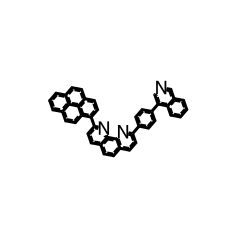 c1ccc2c(-c3ccc(-c4ccc5ccc6ccc(-c7ccc8ccc9cccc%10ccc7c8c9%10)nc6c5n4)cc3)cncc2c1